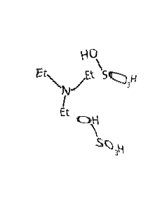 CCN(CC)CC.O=S(=O)(O)O.O=S(=O)(O)O